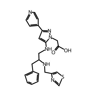 O=C(O)Cn1nc(-c2ccncc2)cc1NCC(Cc1ccccc1)NCc1cscn1